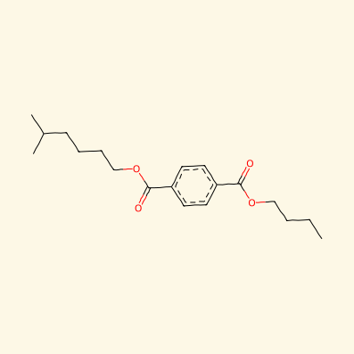 CCCCOC(=O)c1ccc(C(=O)OCCCCC(C)C)cc1